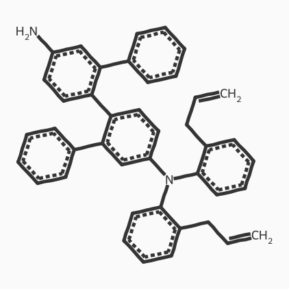 C=CCc1ccccc1N(c1ccc(-c2ccc(N)cc2-c2ccccc2)c(-c2ccccc2)c1)c1ccccc1CC=C